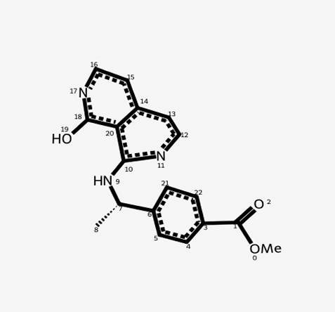 COC(=O)c1ccc([C@H](C)Nc2nccc3ccnc(O)c23)cc1